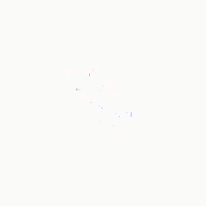 Nn1c(=O)c(F)cn([C@@H]2O[C@H](CO)[C@@H](O)[C@H]2O)c1=O